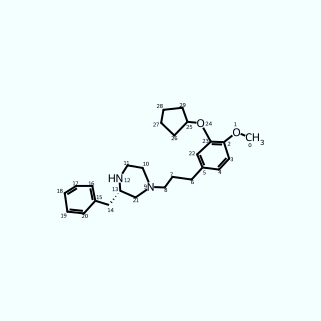 COc1ccc(CCCN2CCN[C@@H](Cc3ccccc3)C2)cc1OC1CCCC1